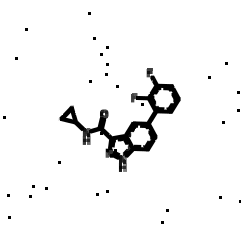 O=C(NC1CC1)c1n[nH]c2ccc(-c3cccc(F)c3F)cc12